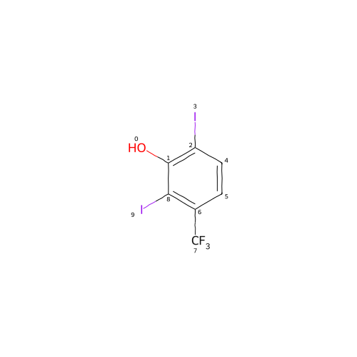 Oc1c(I)ccc(C(F)(F)F)c1I